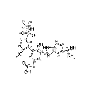 COc1ccc(S(=O)(=O)NC(C)(C)C)cc1-c1cc(CC(=O)O)cc(-c2nc3cc(C(=N)N)ccc3[nH]2)c1O